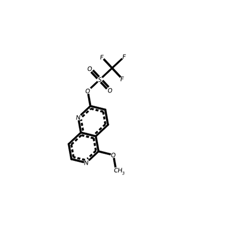 COc1nccc2nc(OS(=O)(=O)C(F)(F)F)ccc12